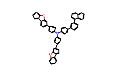 c1cc(-c2ccc(N(c3ccc(-c4ccc5c(c4)oc4ccccc45)cc3)c3ccc(-c4ccc5c(c4)oc4ccccc45)cc3)cc2)cc(-c2cccc3ccccc23)c1